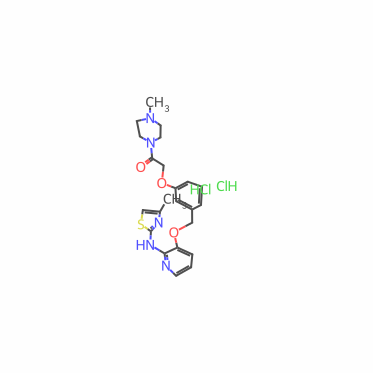 Cc1csc(Nc2ncccc2OCc2cccc(OCC(=O)N3CCN(C)CC3)c2)n1.Cl.Cl